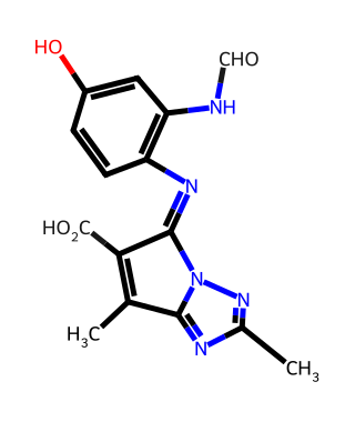 CC1=C(C(=O)O)/C(=N\c2ccc(O)cc2NC=O)n2nc(C)nc21